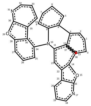 c1ccc(-c2ccccc2N(c2ccc3oc4ncccc4c3c2)c2cccc3oc4ncccc4c23)cc1